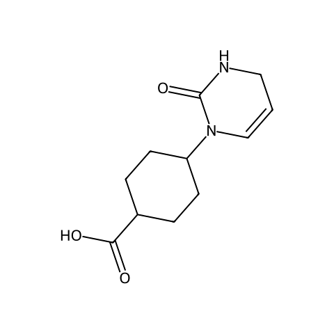 O=C(O)C1CCC(N2C=CCNC2=O)CC1